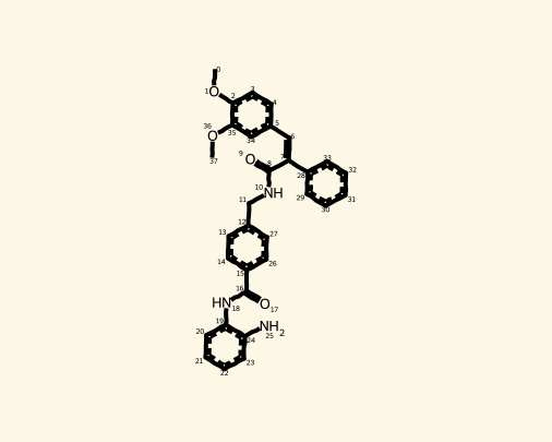 COc1ccc(C=C(C(=O)NCc2ccc(C(=O)Nc3ccccc3N)cc2)c2ccccc2)cc1OC